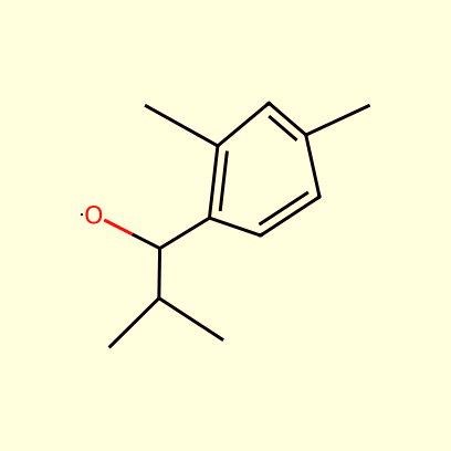 Cc1ccc(C([O])C(C)C)c(C)c1